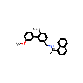 COc1ccc(CN[C@H](C)c2cccc3ccccc23)cc1-c1cccc(OC(F)(F)F)c1